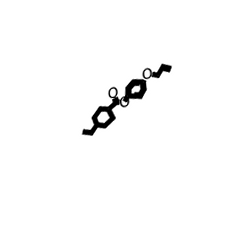 C=CCOc1ccc(OC(=O)C2CCC(CC)CC2)cc1